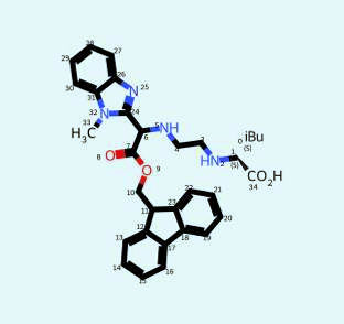 CC[C@H](C)[C@H](NCCNC(C(=O)OCC1c2ccccc2-c2ccccc21)c1nc2ccccc2n1C)C(=O)O